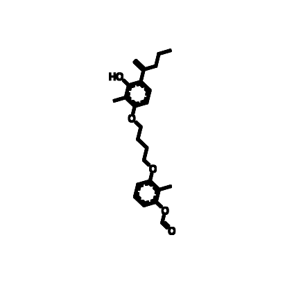 C=C(CCC)c1ccc(OCCCCOc2cccc(OC=O)c2C)c(C)c1O